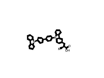 N#C/C(=C\c1ccc2c(c1)c1ccccc1n2-c1ccc(-c2ccc(-n3c4ccccc4c4ccccc43)cc2)cc1)C(=O)O